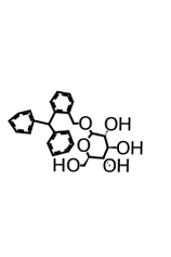 OC[C@H]1OC(OCc2ccccc2C(c2ccccc2)c2ccccc2)[C@H](O)[C@@H](O)[C@@H]1O